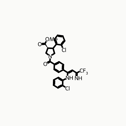 COC(=O)[C@@H]1CN(C(=O)c2ccc(/C(=C/C(=N)C(F)(F)F)Nc3ccccc3Cl)cc2)CC1c1ccccc1Cl